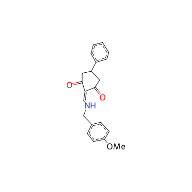 COc1ccc(CNC=C2C(=O)CC(c3ccccc3)CC2=O)cc1